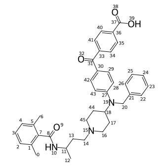 Cc1cccc(C)c1C(=O)NC(C)CCN1CCC(N(Cc2ccccc2)c2ccc(C(=O)c3ccc(C(=O)O)cc3)cc2)CC1